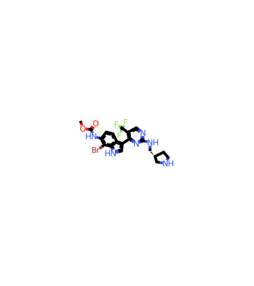 COC(=O)Nc1ccc2c(-c3nc(NC[C@@H]4CCNC4)ncc3C(F)(F)F)c[nH]c2c1Br